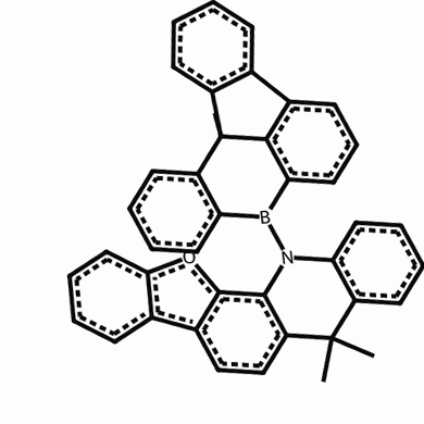 CC1(C)c2ccccc2N(B2c3ccccc3C3(C)c4ccccc4-c4cccc2c43)c2c1ccc1c2oc2ccccc21